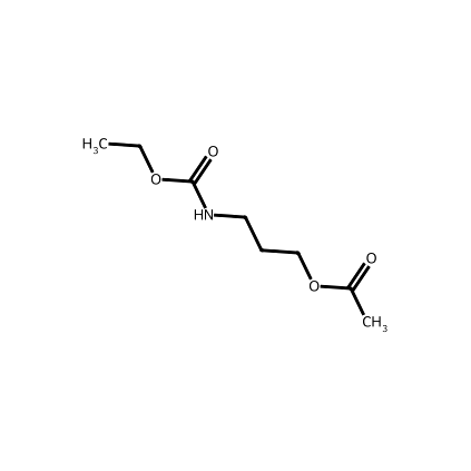 CCOC(=O)NCCCOC(C)=O